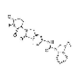 O=C1CCC(N2Cc3cc(NC(=O)N4CC5(CC5)c5ccccc54)ccc3C2=O)C(=O)N1